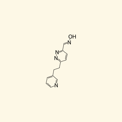 ON=Cc1ccc(CCc2cccnc2)nn1